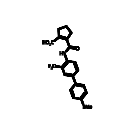 CSc1ccc(-c2ccc(NC(=O)C3=C(C(=O)O)CCC3)c(C(F)(F)F)c2)cc1